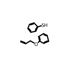 C=CCOc1ccccc1.Sc1ccccc1